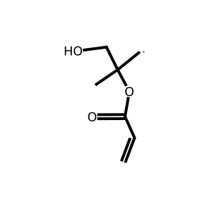 [CH2]C(C)(CO)OC(=O)C=C